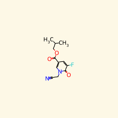 CC(C)COC(=O)c1cc(F)c(=O)n(CC#N)c1